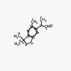 Cc1cc2c(cc1C(C)C=O)CCC2(C)C